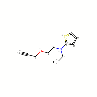 C#CCOCCN(CC)c1cccs1